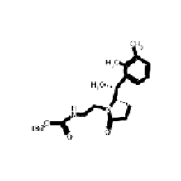 Cc1cccc([C@@H](C)[C@@H]2CCC(=O)N2CCNC(=O)OC(C)(C)C)c1C